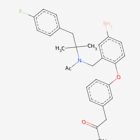 Bc1ccc(Oc2cccc(CC(=O)OC)c2)c(CN(C(C)=O)C(C)(C)Cc2ccc(F)cc2)c1